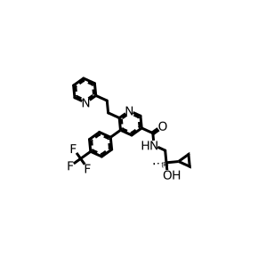 C[C@](O)(CNC(=O)c1cnc(CCc2ccccn2)c(-c2ccc(C(F)(F)F)cc2)c1)C1CC1